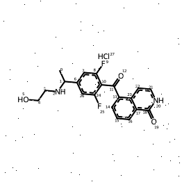 CC(NCCO)c1cc(F)c(C(=O)c2cccc3c(=O)[nH]ccc23)c(F)c1.Cl